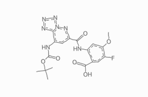 COc1cc(NC(=O)c2cc(NC(=O)OC(C)(C)C)c3nnnn3n2)c(C(=O)O)cc1F